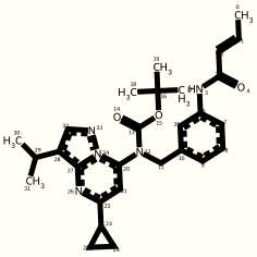 C/C=C/C(=O)Nc1cccc(CN(C(=O)OC(C)(C)C)c2cc(C3CC3)nc3c(C(C)C)cnn23)c1